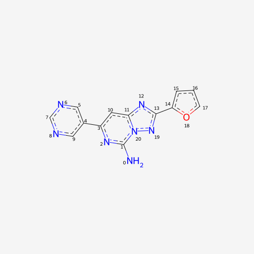 Nc1nc(-c2cncnc2)cc2nc(-c3ccco3)nn12